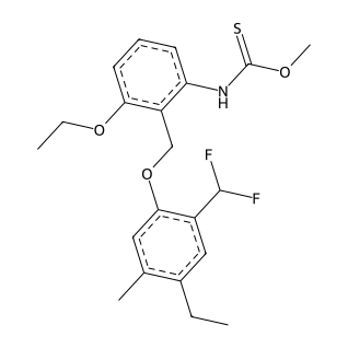 CCOc1cccc(NC(=S)OC)c1COc1cc(C)c(CC)cc1C(F)F